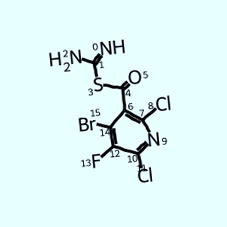 N=C(N)SC(=O)c1c(Cl)nc(Cl)c(F)c1Br